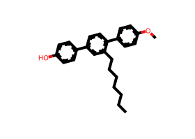 CCCCCCCc1cc(-c2ccc(O)cc2)ccc1-c1ccc(OC)cc1